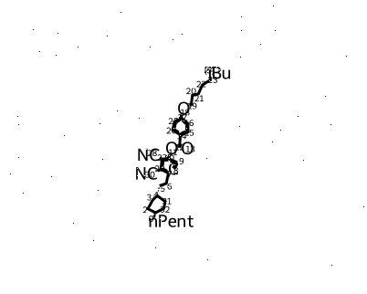 CCCCC[C@H]1CC[C@H](CCc2ccc(OC(=O)c3ccc(OCCCCC[C@@H](C)CC)cc3)c(C#N)c2C#N)CC1